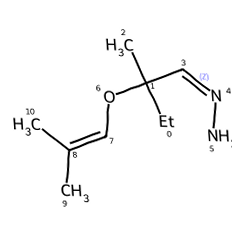 CCC(C)(/C=N\N)OC=C(C)C